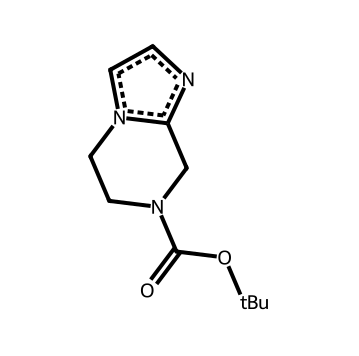 CC(C)(C)OC(=O)N1CCn2ccnc2C1